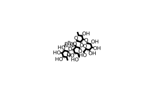 CCCO[C@@H]1OC(C)[C@H](O)C(O[C@H]2OC(CO)[C@@H](O)C(O)C2O)[C@@H]1O[C@@H]1OC(CO)[C@@H](O)[C@H](O[C@@H]2OC(C)[C@H](O)C(O)[C@@H]2O)C1NC(C)=O